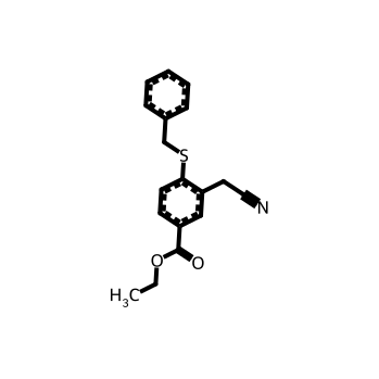 CCOC(=O)c1ccc(SCc2ccccc2)c(CC#N)c1